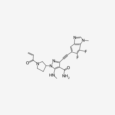 C=CC(=O)N1CCC(n2nc(C#Cc3cc4ncn(C)c4c(F)c3F)c(C(N)=O)c2NC)C1